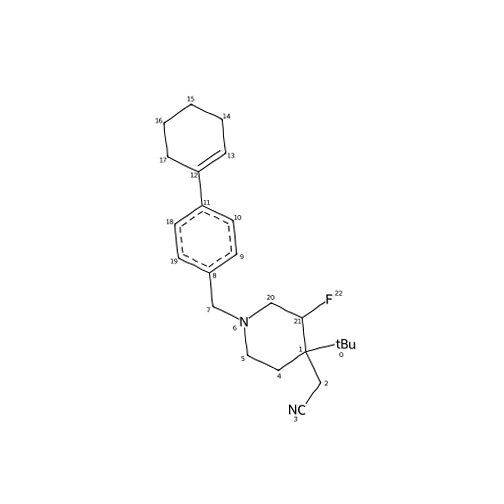 CC(C)(C)C1(CC#N)CCN(Cc2ccc(C3=CCCCC3)cc2)CC1F